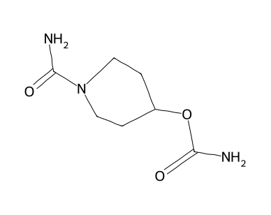 NC(=O)OC1CCN(C(N)=O)CC1